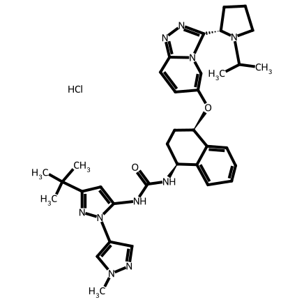 CC(C)N1CCC[C@H]1c1nnc2ccc(O[C@@H]3CC[C@H](NC(=O)Nc4cc(C(C)(C)C)nn4-c4cnn(C)c4)c4ccccc43)cn12.Cl